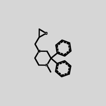 CN1CCN(CC2CO2)CC1(c1ccccc1)c1ccccc1